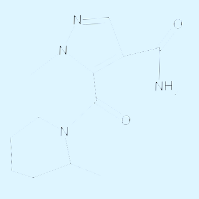 CC1CCCCN1C(=O)c1c(C(N)=O)cnn1C